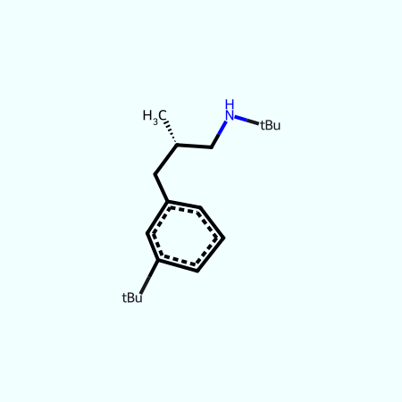 C[C@H](CNC(C)(C)C)Cc1cccc(C(C)(C)C)c1